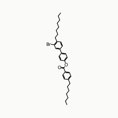 CCCCCCCCc1ccc(-c2ccc(OC(=O)c3ccc(CCCCCCC)cc3)cc2)cc1Br